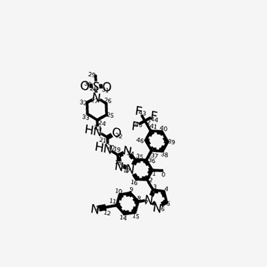 Cc1c(-c2ccnn2-c2ccc(C#N)cc2)cn2nc(NC(=O)NC3CCN(S(C)(=O)=O)CC3)nc2c1-c1cccc(C(F)(F)F)c1